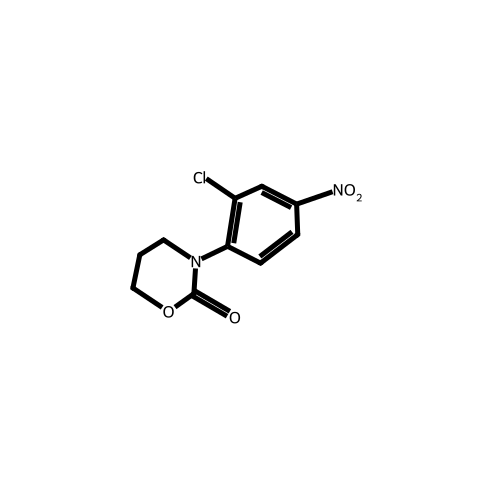 O=C1OCCCN1c1ccc([N+](=O)[O-])cc1Cl